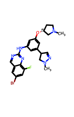 CN1CC[C@@H](Oc2cc(Nc3ncc4cc(Br)cc(F)c4n3)cc(C3C=NN(C)C3)c2)C1